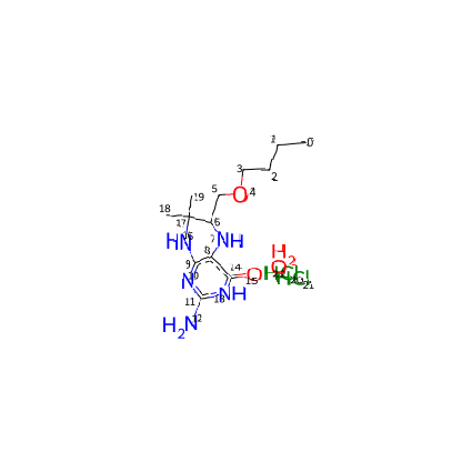 CCCCOCC1Nc2c(nc(N)[nH]c2=O)NC1(C)C.Cl.Cl.O